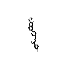 COc1ccc2cc(N3CCN(CCCC(=O)c4ccc(F)cc4)CC3)ncc2c1